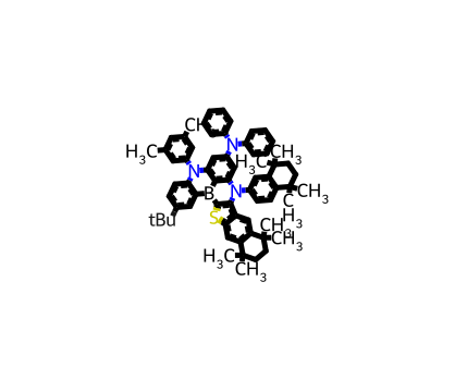 Cc1cc(C)cc(N2c3ccc(C(C)(C)C)cc3B3c4sc5cc6c(cc5c4N(c4ccc5c(c4)C(C)(C)CCC5(C)C)c4cc(N(c5ccccc5)c5ccccc5)cc2c43)C(C)(C)CCC6(C)C)c1